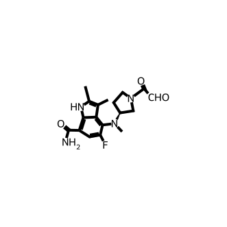 Cc1[nH]c2c(C(N)=O)cc(F)c(N(C)[C@H]3CCN(C(=O)C=O)C3)c2c1C